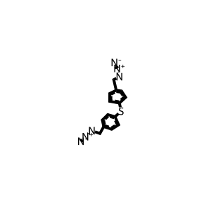 [N-]=[N+]=NCc1ccc(Sc2ccc(CN=[N+]=[N-])cc2)cc1